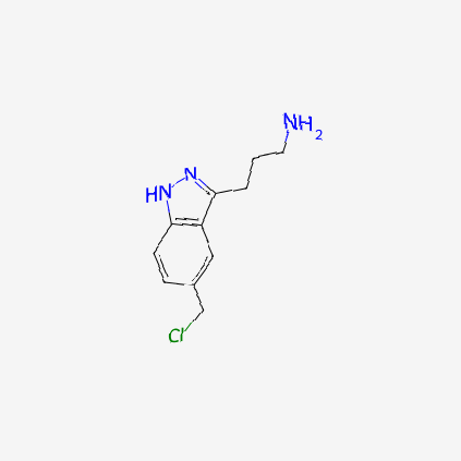 NCCCc1n[nH]c2ccc(CCl)cc12